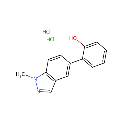 Cl.Cl.Cn1ncc2cc(-c3ccccc3O)ccc21